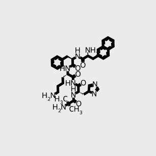 CC(C)(N)C(=O)N[C@@H](CC1C=NC=N1)C(=O)NC(=O)[C@H](CCCCN)NC(=O)[C@@H](Cc1ccccc1)NC(=O)[C@H](N)Cc1ccc2ccccc2c1